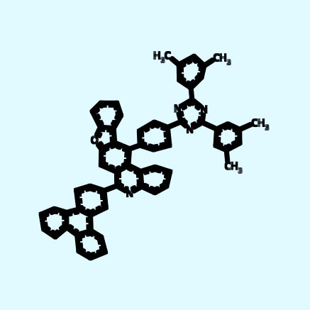 Cc1cc(C)cc(-c2nc(-c3ccc(-c4c5c(cc6c(-c7ccc8c9ccccc9c9ccccc9c8c7)nc7ccccc7c46)oc4ccccc45)cc3)nc(-c3cc(C)cc(C)c3)n2)c1